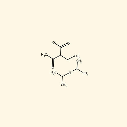 CCC(C(C)=O)C(=O)[O-].C[CH](C)[Al+][CH](C)C